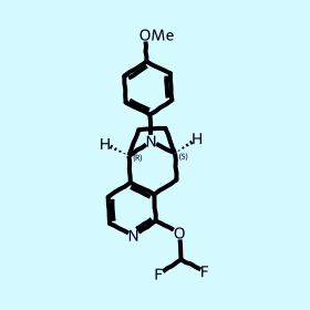 COc1ccc(N2[C@H]3CC[C@@H]2c2ccnc(OC(F)F)c2C3)cc1